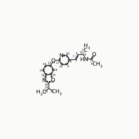 CC(=O)N[C@@H](C)/C=C/c1ccc(Oc2ccc3nc(C(C)C)oc3c2)nc1